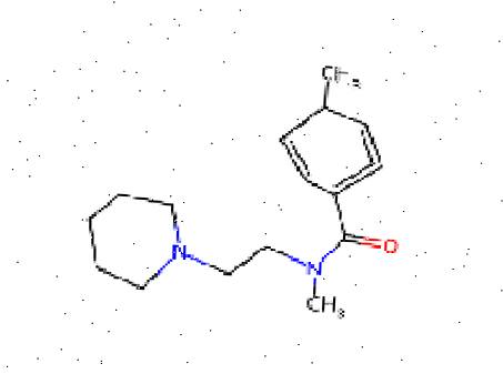 CC1C=C=C(C(=O)N(C)CCN2CCCCC2)C=C1